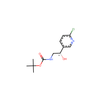 CC(C)(C)OC(=O)NC[C@@H](O)c1ccc(Cl)nc1